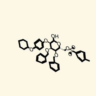 Cc1ccc(S(=O)(=O)OC[C@H]2OC(O)[C@H](Oc3ccc(OC4CCCCC4)cc3)[C@@H](OCc3ccccc3)[C@@H]2OCc2ccccc2)cc1